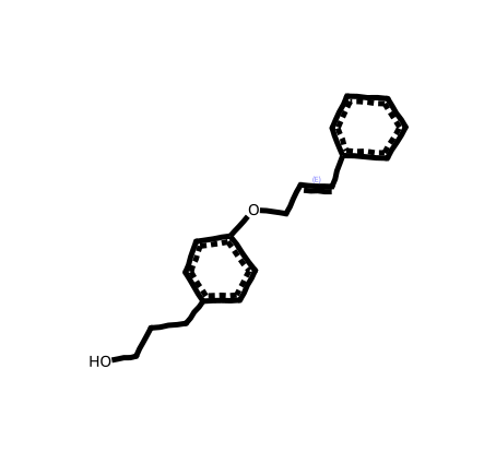 OCCCc1ccc(OC/C=C/c2ccccc2)cc1